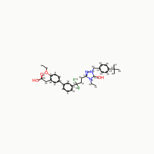 CCOc1ccc(-c2cccc(C(F)(F)CCC3=NN(Cc4ccc(C(C)(C)C)cc4)C(O)N3CC)c2)cc1CC(=O)O